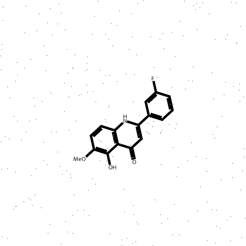 COc1ccc2[nH]c(-c3cccc(F)c3)cc(=O)c2c1O